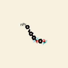 CCC[C@H]1CC[C@H](CCC2CCC(c3ccc(C(F)(F)Oc4ccc(OC(F)F)cc4)cc3)CC2)CC1